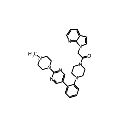 CN1CCN(c2ncc(-c3ccccc3N3CCN(C(=O)Cn4ccc5cccnc54)CC3)cn2)CC1